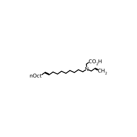 C=CCN(CCCCCCCCC=CCCCCCCCC)CC(=O)O